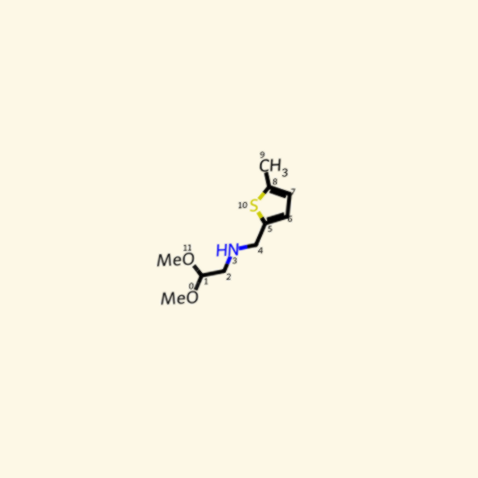 COC(CNCc1ccc(C)s1)OC